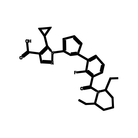 CCC1CCCC(CC)N1C(=O)c1cccc(-c2cccc(-n3ncc(C(=O)O)c3C3CC3)c2)c1F